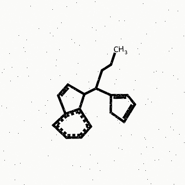 CCCC(C1=CC=CC1)C1C=Cc2ccccc21